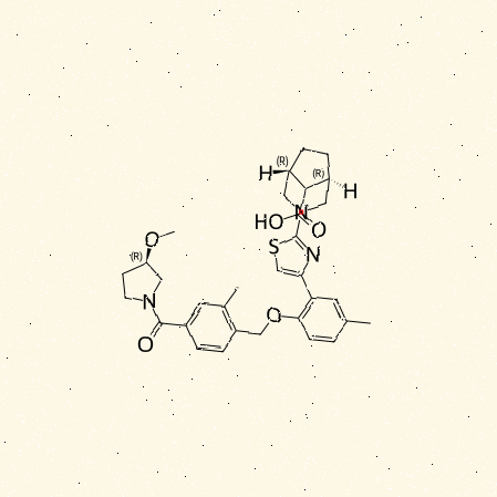 CO[C@@H]1CCN(C(=O)c2ccc(COc3ccc(C)cc3-c3csc(N4C[C@@H]5CC[C@@H](C4)C5C(=O)O)n3)c(C)c2)C1